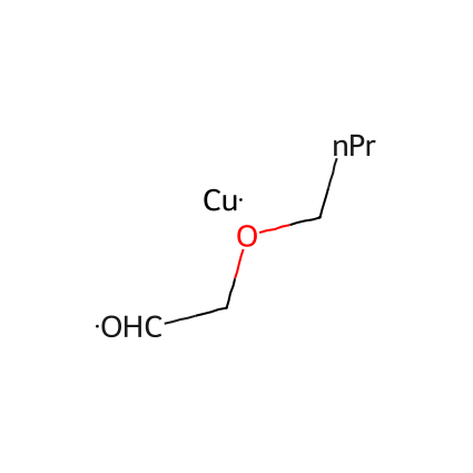 CCCCOC[C]=O.[Cu]